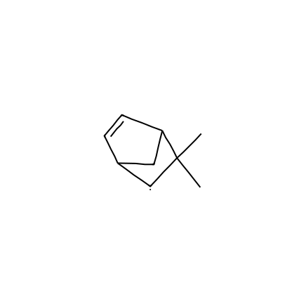 CC1(C)[CH]C2C=CC1C2